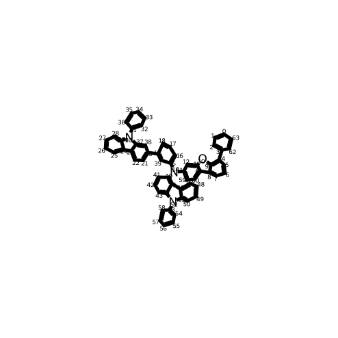 c1ccc(-c2cccc3c2oc2cc(N(c4cccc(-c5ccc6c7ccccc7n(-c7ccccc7)c6c5)c4)c4cccc5c4c4ccccc4n5-c4ccccc4)ccc23)cc1